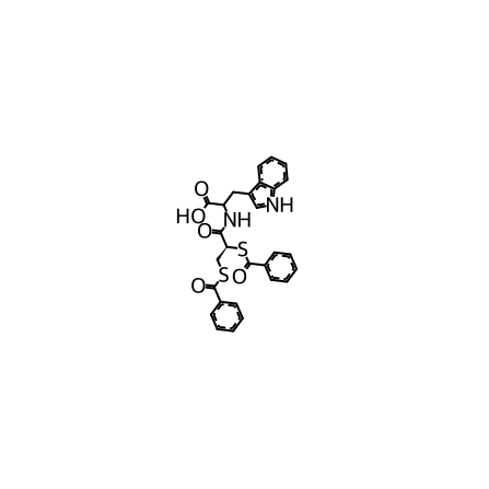 O=C(SC[C@H](SC(=O)c1ccccc1)C(=O)NC(Cc1c[nH]c2ccccc12)C(=O)O)c1ccccc1